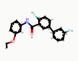 CCOc1cccc(NC(=O)c2cc(-c3cccc(F)c3)ccc2F)c1